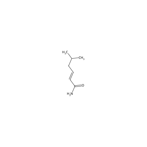 CC(C)C/C=C/C(N)=O